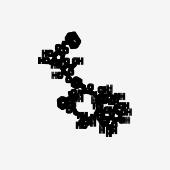 CC(c1ccccc1)C1NC(=O)CNC(=O)C(CO)NC(=O)C(C(O)C2CNC(=N)N2C2OC(CO)C(O)C(O)C2O)NC(=O)C(C(O)C2CNC(=N)N2)NC(=O)C(Cc2ccc(OC3OC(CO)C(OC4OC(CO)C(O)C5OC(CC67CC8CC(CC(C8)C6)C7)OC45)C(O)C3O)cc2)NC1=O